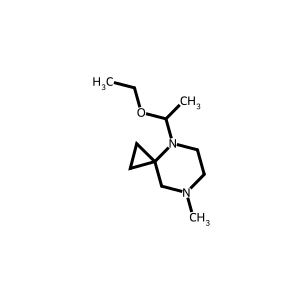 CCOC(C)N1CCN(C)CC12CC2